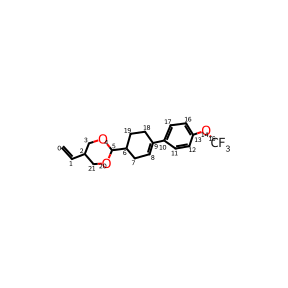 C=CC1COC(C2CC=C(c3ccc(OC(F)(F)F)cc3)CC2)OC1